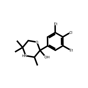 CCc1cc(C2(O)OCC(C)(C)NC2C)cc(CC)c1Cl